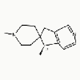 C[C@@H]1c2ccncc2CC12CCN(C)CC2